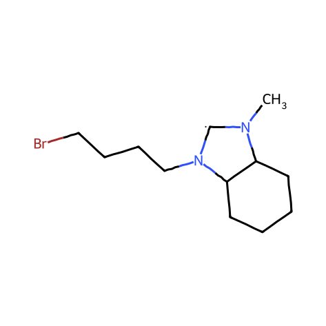 CN1[CH]N(CCCCBr)C2CCCCC21